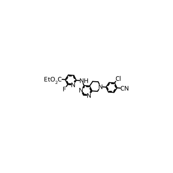 CCOC(=O)c1ccc(Nc2ncnc3c2CCN(c2ccc(C#N)c(Cl)c2)C3)nc1F